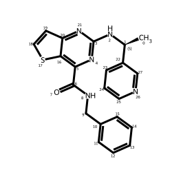 C[C@H](Nc1nc(C(=O)NCc2ccccc2)c2sccc2n1)c1cccnc1